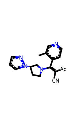 CC(=O)/C(C#N)=C(\c1ccncc1C)N1CC[C@@H](n2cccn2)C1